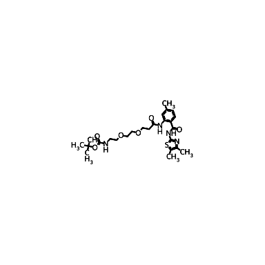 Cc1ccc(C(=O)Nc2nc(C)c(C)s2)c(NC(=O)CCOCCOCCNC(=O)OC(C)(C)C)c1